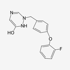 OC1=CN=CN(Cc2ccc(Oc3ccccc3F)cc2)N1